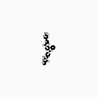 Nc1ccc(-c2cc(F)c(C(=O)N3CC[C@@H](C(=O)N4CCC(O)(Cn5cnc6sccc6c5=O)CC4)[C@H](c4ccccc4)C3)s2)cn1